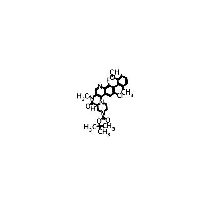 COc1cccc(C)c1-c1c(Cl)cc2c3c(cnc2c1F)N(C)C(=O)[C@H]1CN(C(=O)OC(C)(C)C)CCN31